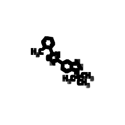 Cc1ccccc1-c1nc(-c2ccc3c(c2)nnn3C(C)(C)C)no1